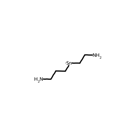 NCC[CH2][Sn][CH2]CN